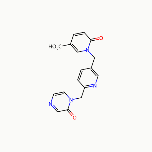 O=C(O)c1ccc(=O)n(Cc2ccc(Cn3ccncc3=O)nc2)c1